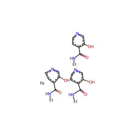 CCNC(=O)c1ccncc1O.CCNC(=O)c1ccncc1O.CCNC(=O)c1ccncc1O.[Fe]